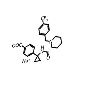 O=C([O-])c1ccc(C2(NC(=O)[C@H]3CCCCN3Cc3ccc(C(F)(F)F)cc3)CC2)cc1.[Na+]